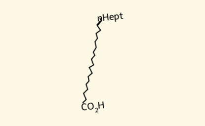 CCCCCCCC=CCCCCCCCCCCCCCCCCCCC(=O)O